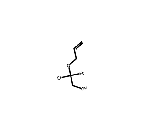 C=CCOC(CC)(CC)CO